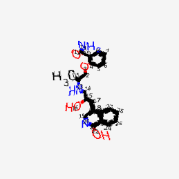 CC(COc1ccccc1C(N)=O)NCC(O)Cc1cnc(O)c2ccccc12